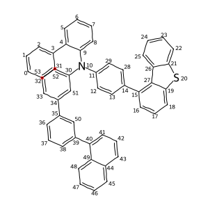 c1ccc(-c2ccccc2N(c2ccc(-c3cccc4sc5ccccc5c34)cc2)c2cccc(-c3cccc(-c4cccc5ccccc45)c3)c2)cc1